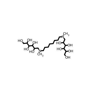 CN(CCCCCCCCN(C)CC(O)C(O)C(O)C(O)CO)CC(O)C(O)C(O)C(O)CO